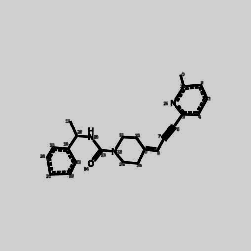 Cc1cccc(C#CC=C2CCN(C(=O)NC(C)c3ccccc3)CC2)n1